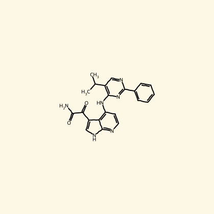 CC(C)c1cnc(-c2ccccc2)nc1Nc1ccnc2[nH]cc(C(=O)C(N)=O)c12